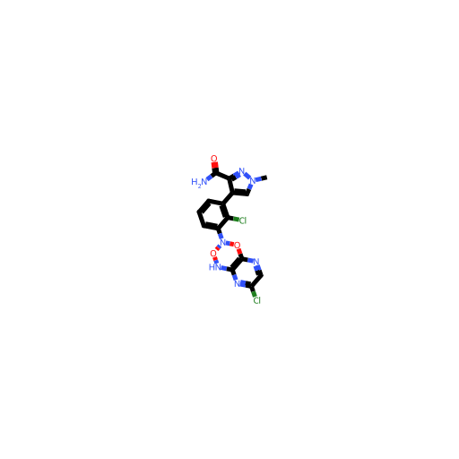 Cn1cc(-c2cccc(-n3o[nH]c4nc(Cl)cnc4o3)c2Cl)c(C(N)=O)n1